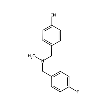 CN(Cc1ccc(F)cc1)Cc1ccc(C#N)cc1